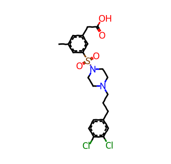 Cc1cc(CC(=O)O)cc(S(=O)(=O)N2CCN(CCCc3ccc(Cl)c(Cl)c3)CC2)c1